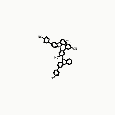 N#Cc1ccc(-c2ccc3c(c2)c2ccccc2n3-c2cc(-c3cc(C#N)cc(C(F)(F)F)c3)c(-n3c4ccccc4c4cc(-c5ccc(C#N)cc5)ccc43)cc2C#N)cc1